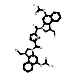 CC(=O)Oc1cc2c(c3ccccc13)C(CCl)CN2C(=O)c1ccc(C(=O)N2CC(CCl)c3c2cc(OC(C)=O)c2ccccc32)[nH]1